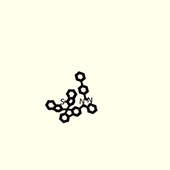 c1ccc(-c2ccc(-c3nc(-c4ccc5c(c4)C4(c6ccccc6-5)c5ccc6ccccc6c5Sc5c4ccc4ccccc54)c4ccccc4n3)cc2)cc1